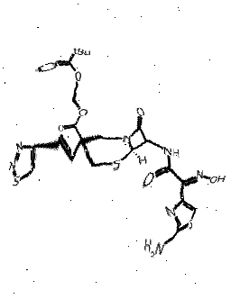 CC(C)(C)C(=O)OCOC(=O)C1(C=Cc2csnn2)CS[C@@H]2C(NC(=O)C(=NO)c3csc(N)n3)C(=O)N2C1